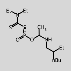 CCCCC(CC)CNC(C)O[PH](=O)SC(=S)N(CC)CC